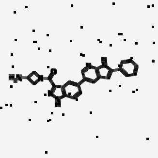 NC1CN(C(=O)c2n[nH]c3ccc(-c4cnc5[nH]c(-c6ccccc6)cc5c4)cc23)C1